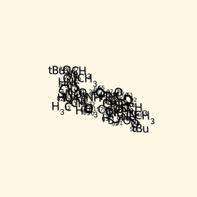 C[C@@H](C(=S)N[C@H]1CCS[C@H]2CC(C)(C)[C@@H](C(=O)N[C@H](C(=O)NCc3ccc(CNC(=O)[C@@H](NC(=O)[C@H]4N5C(=O)[C@@H](NC(=S)[C@H](C)N(C)C(=O)OC(C)(C)C)CCS[C@H]5CC4(C)C)c4ccccc4)cc3)c3ccccc3)N2C1=O)N(C)C(=O)OC(C)(C)C